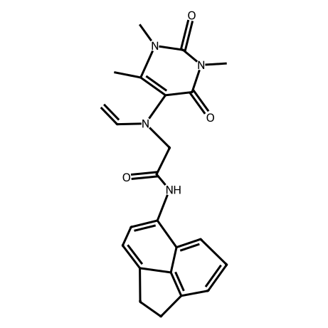 C=CN(CC(=O)Nc1ccc2c3c(cccc13)CC2)c1c(C)n(C)c(=O)n(C)c1=O